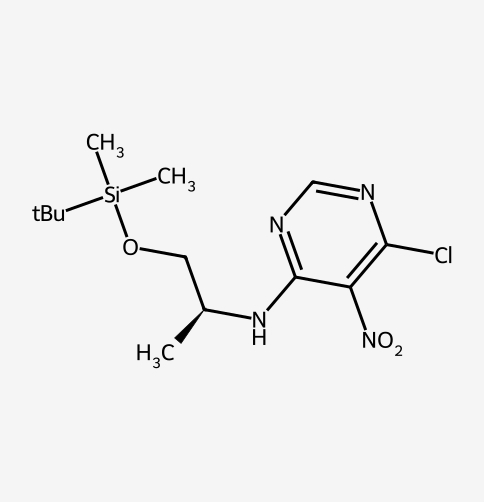 C[C@@H](CO[Si](C)(C)C(C)(C)C)Nc1ncnc(Cl)c1[N+](=O)[O-]